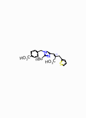 CCCCc1nc(/C=C(/Cc2cccs2)C(=O)O)cn1Cc1ccc(C(=O)O)cc1